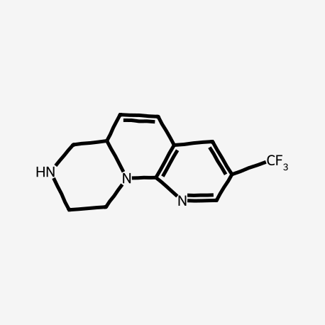 FC(F)(F)c1cnc2c(c1)C=CC1CNCCN21